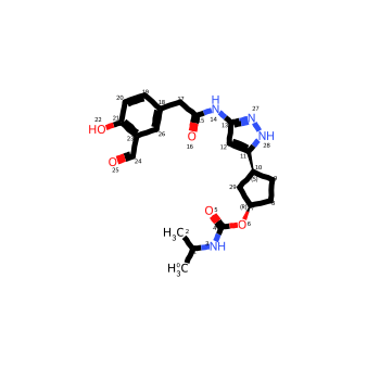 CC(C)NC(=O)O[C@@H]1CC[C@H](c2cc(NC(=O)Cc3ccc(O)c(C=O)c3)n[nH]2)C1